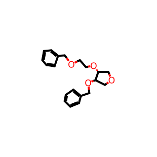 c1ccc(COCCO[C@H]2COCC2OCc2ccccc2)cc1